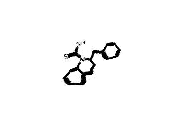 S=C(S)N1c2ccccc2CCC1Cc1ccccc1